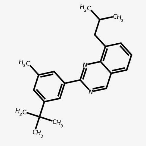 Cc1cc(-c2ncc3cccc(CC(C)C)c3n2)cc(C(C)(C)C)c1